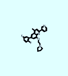 Cc1cc(-c2cccnc2)nc2c(OCCN3CCCC3)cc(-c3cc(F)ccc3F)cc12